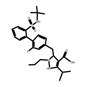 CCCN1NC(C(C)C)=C(C(=O)O)C1Cc1ccc(-c2ccccc2S(=O)(=O)NC(C)(C)C)c(F)c1